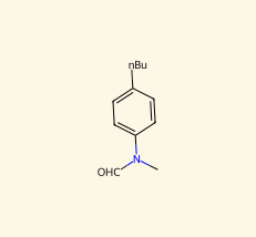 CCCCc1ccc(N(C)C=O)cc1